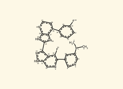 CN(C)c1cncc(-c2ncc3[nH]nc(-c4nc5c(-c6cccc(F)c6)ccnc5[nH]4)c3c2F)c1